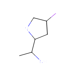 CC(N)C1CC(I)C[N]1